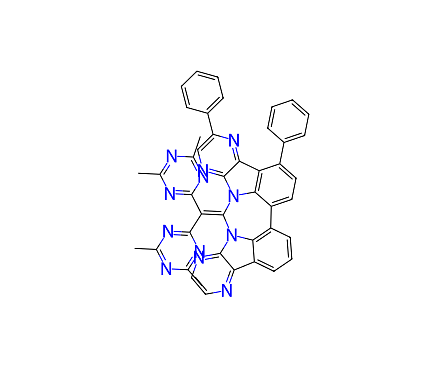 Cc1nc(C)nc(C(c2nc(C)nc(C)n2)=c2n3c4nccnc4c4cccc(c5ccc(-c6ccccc6)c6c7nc(-c8ccccc8)cnc7n2c56)c43)n1